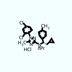 CCCN(c1nc(C)n(-c2ccc(Cl)cc2Cl)n1)[C@@H](CC1CC1)c1ccc(C)cc1.Cl